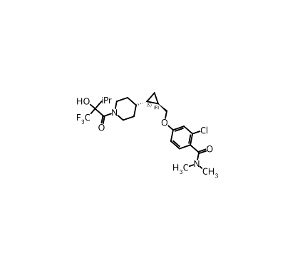 CC(C)C(O)(C(=O)N1CCC([C@@H]2C[C@H]2COc2ccc(C(=O)N(C)C)c(Cl)c2)CC1)C(F)(F)F